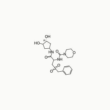 O=C(NC1CC(O)[C@H](O)C1)C(CS(=O)(=O)Cc1ccccc1)NC(=O)N1CCOCC1